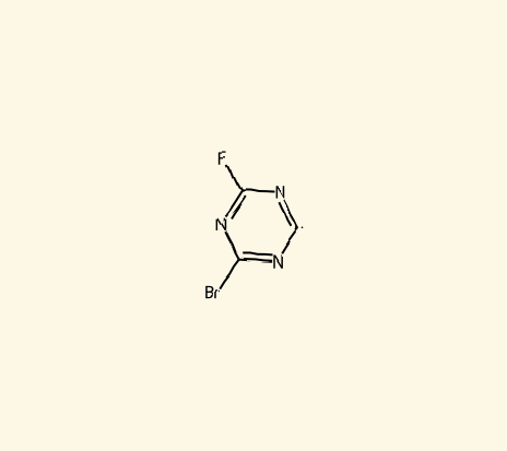 Fc1n[c]nc(Br)n1